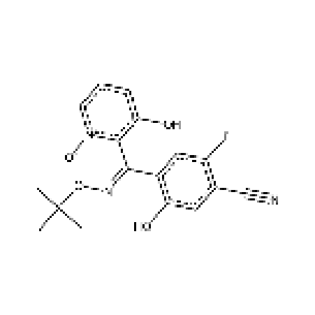 CC(C)(C)ON=C(c1cc(F)c(C#N)cc1O)c1c(O)ccc[n+]1[O-]